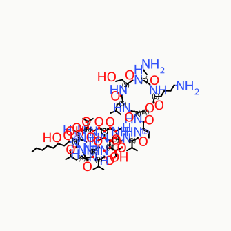 C/C=C(\NC(=O)[C@H](NC(=O)[C@H](CC(C)C)NC(=O)[C@@H](CCC(N)=O)NC(=O)[C@@H](NC(=O)[C@H](NC(=O)[C@@H](CC(C)C)NC(=O)[C@@H](CO)NC(=O)[C@H](NC(=O)[C@@H](CC(C)C)NC(=O)[C@@H](CO)NC(=O)[C@H]1CCCN1C(=O)/C(=C/C)NC(=O)CC(O)CCCCC)C(C)C)C(C)C)C(C)C)C(C)C)C(=O)N[C@H]1C(=O)N[C@@H](CC(C)C)C(=O)N[C@@H](CCO)C(=O)N[C@H](CCN)C(=O)N[C@@H](CCCCN)C(=O)O[C@@H]1C